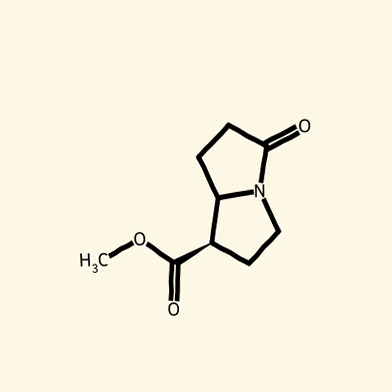 COC(=O)[C@@H]1CCN2C(=O)CCC12